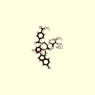 CN[C@@H](C)C(=O)N[C@H]1CN(C(=O)c2ccc(C(C)=O)cc2)c2ccccc2N(Cc2c(OC)ccc3cc(Br)ccc23)C1=O.Cl